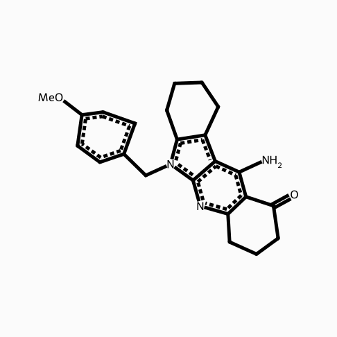 COc1ccc(Cn2c3c(c4c(N)c5c(nc42)CCCC5=O)CCCC3)cc1